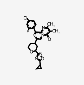 Cc1nc2c(-c3ccc(Cl)cc3F)nc(C3CCOC(c4noc(C5CC5)n4)C3)cn2c(=O)c1C